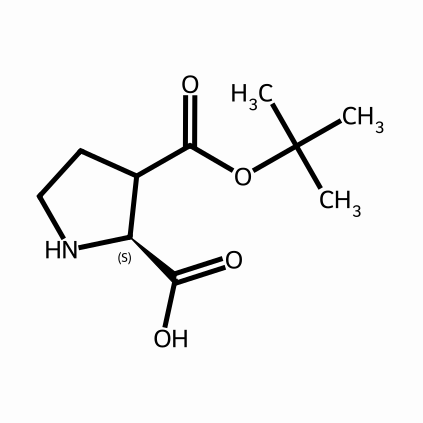 CC(C)(C)OC(=O)C1CCN[C@@H]1C(=O)O